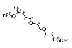 CCCCCCCCCCOCCOCCOCCCC(=O)OCCC